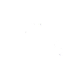 CCOc1cc(S(C)(=O)=O)ccc1Nc1n[nH]c2cc(C3CC34C(=O)Nc3ccc(OC)cc34)ccc12